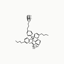 CCCCc1ccc([Si](c2ccc(CCCC)cc2)(c2ccc(CCCC)cc2)C2C(C)=[C]([Ti+3])c3ccccc32)cc1.[Cl-].[Cl-].[Cl-]